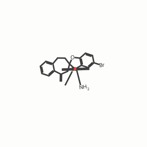 C=C1CC2(CCc3ccccc31)Oc1ccc(Br)cc1C21N=C(N)N(C)C1=C